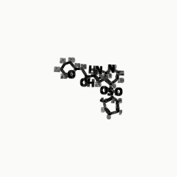 O=S(=O)(c1ccccc1)c1ccnc2[nH]c(C(O)CC3CCCCO3)cc12